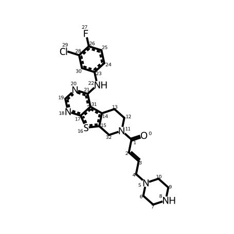 O=C(C=CCN1CCNCC1)N1CCc2c(sc3ncnc(Nc4ccc(F)c(Cl)c4)c23)C1